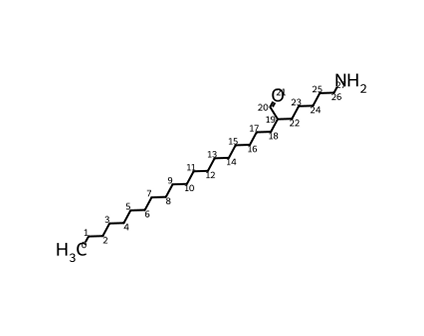 CCCCCCCCCCCCCCCCCCCC(C=O)CCCCCN